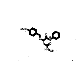 COc1ccc(CO[C@@H](CC(=O)NO)C(=O)Nc2ccccc2)cc1